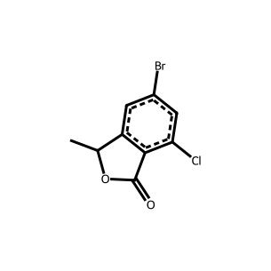 CC1OC(=O)c2c(Cl)cc(Br)cc21